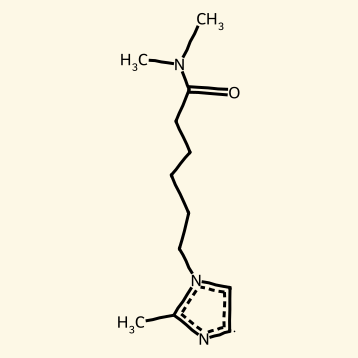 Cc1n[c]cn1CCCCCC(=O)N(C)C